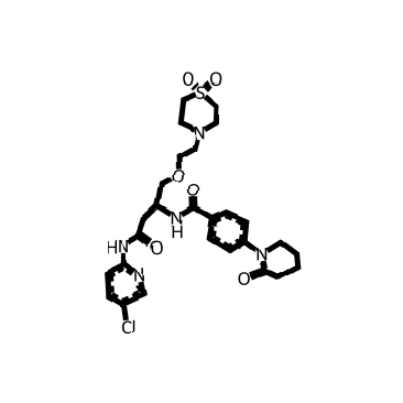 O=C(CC(COCCN1CCS(=O)(=O)CC1)NC(=O)c1ccc(N2CCCCC2=O)cc1)Nc1ccc(Cl)cn1